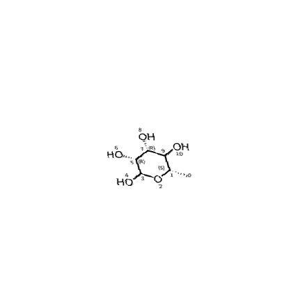 C[C@@H]1OC(O)[C@H](O)[C@H](O)C1O